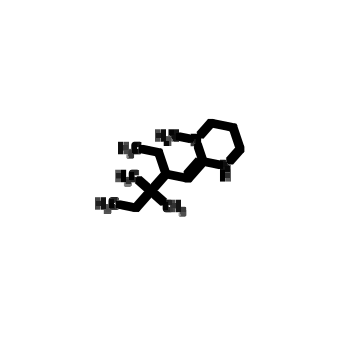 CCC(/C=C1/NCCCN1N)C(C)(C)CC